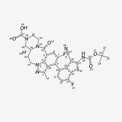 Cc1nn2c3c(cc(F)c(-c4ccc(F)c5sc(NC(=O)OC(C)(C)C)c(C#N)c45)c13)C(=O)N1CCN(C(=O)O)C[C@@H]1CC2